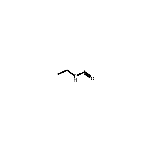 CCP[C]=O